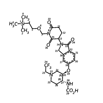 C[Si](C)(C)CCOCN1C(=O)CCC(N2Cc3cc(O[C@@H]4CN(CC(F)(F)F)CC[C@H]4NC(=O)O)ccc3C2=O)C1=O